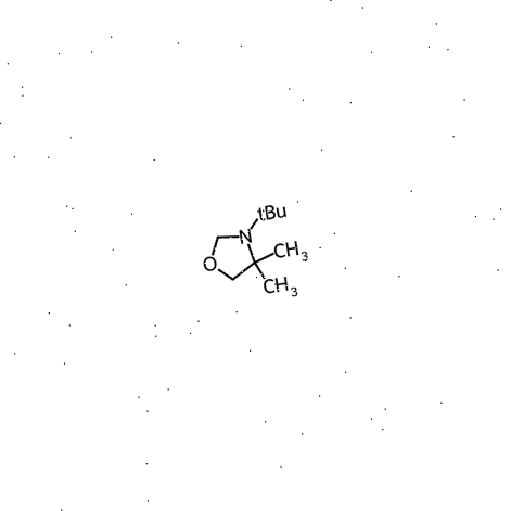 CC(C)(C)N1COCC1(C)C